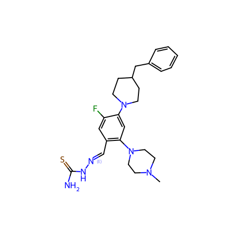 CN1CCN(c2cc(N3CCC(Cc4ccccc4)CC3)c(F)cc2/C=N/NC(N)=S)CC1